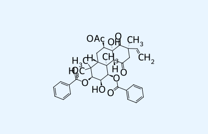 C=C[C@@]1(C)CC(=O)[C@H]2[C@](O)(C1=O)[C@H](OC(C)=O)C[C@H]1C(C)(C)[C@H](OC(=O)c3ccccc3)[C@H](O)[C@H](OC(=O)c3ccccc3)[C@@]12C